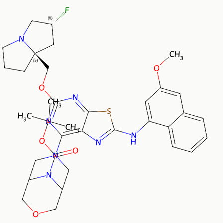 COc1cc(Nc2nc3c(N4CC5COCC(C4)N5C(=O)OC(C)(C)C)nc(OC[C@@]45CCCN4C[C@H](F)C5)nc3s2)c2ccccc2c1